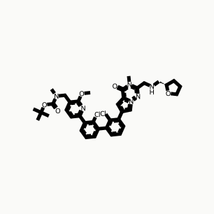 COc1nc(-c2cccc(-c3cccc(-c4cc5c(=O)n(C)c(CNC[C@@H]6CCCO6)nn5c4)c3Cl)c2Cl)ccc1CN(C)C(=O)OC(C)(C)C